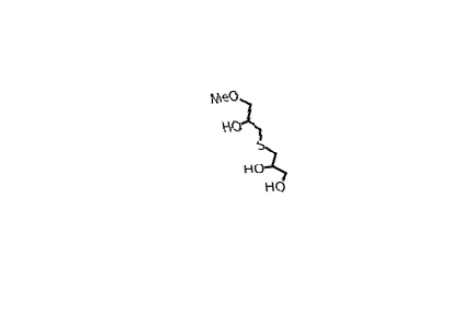 COCC(O)CSCC(O)CO